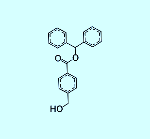 O=C(OC(c1ccccc1)c1ccccc1)c1ccc(CO)cc1